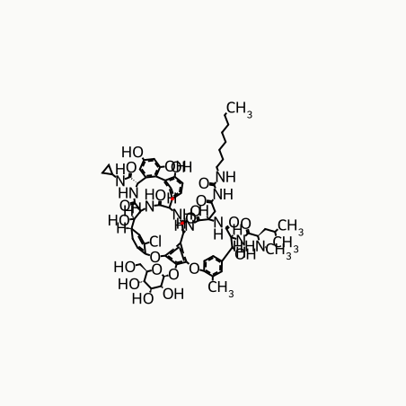 CCCCCCCCNC(=O)NC(=O)C[C@@H]1NC(=O)[C@H](NC(=O)[C@@H](CC(C)C)NC)[C@H](O)c2ccc(c(C)c2)Oc2cc3cc(c2O[C@@H]2O[C@H](CO)[C@@H](O)[C@H](O)[C@H]2O)OC2=CC[C@@H](C=C2Cl)[C@@H](O)[C@@H]2NC(=O)[C@H](NC(=O)[C@@H]3NC1=O)c1ccc(O)c(c1)-c1c(O)cc(O)cc1[C@@H](C(=O)NC1CC1)NC2=O